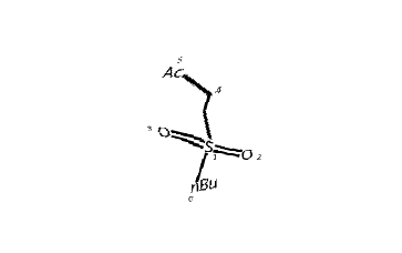 CCCCS(=O)(=O)CC(C)=O